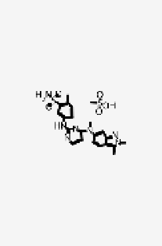 CS(=O)(=O)O.Cc1ccc(Nc2nccc(N(C)c3ccc4c(C)n(C)nc4c3)n2)cc1S(N)(=O)=O